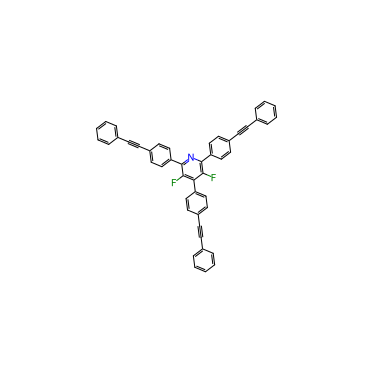 Fc1c(-c2ccc(C#Cc3ccccc3)cc2)nc(-c2ccc(C#Cc3ccccc3)cc2)c(F)c1-c1ccc(C#Cc2ccccc2)cc1